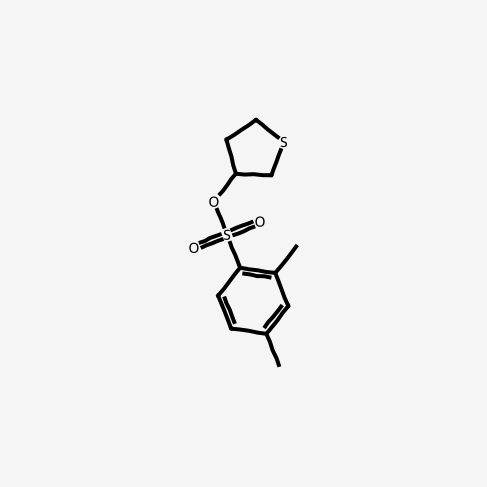 Cc1ccc(S(=O)(=O)OC2CCSC2)c(C)c1